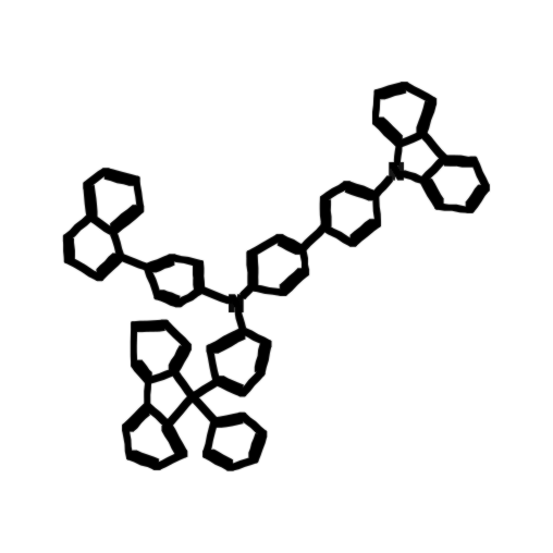 c1ccc(C2(c3cccc(N(c4ccc(-c5ccc(-n6c7ccccc7c7ccccc76)cc5)cc4)c4ccc(-c5cccc6ccccc56)cc4)c3)c3ccccc3-c3ccccc32)cc1